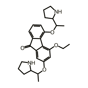 CCOc1cc(OC(C)C2CCCN2)cc2c1-c1c(OC(C)C3CCCN3)cccc1C2=O